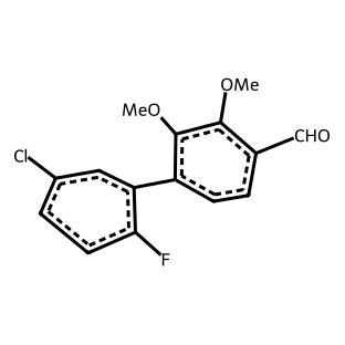 COc1c(C=O)ccc(-c2cc(Cl)ccc2F)c1OC